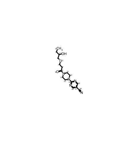 CCC(O)COCCC(=O)N1CCN(c2ncc(C#N)cn2)CC1